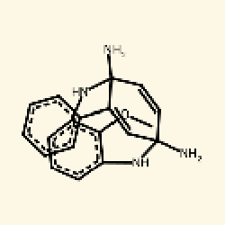 COc1c2cccc1NC1(N)C=CC(N)(C=C1c1ccccc1)N2